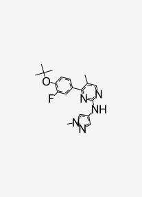 Cc1cnc(Nc2cnn(C)c2)nc1-c1ccc(OC(C)(C)C)c(F)c1